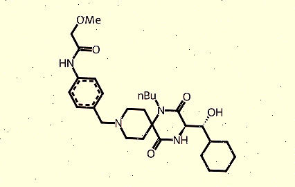 CCCCN1C(=O)[C@@H]([C@H](O)C2CCCCC2)NC(=O)C12CCN(Cc1ccc(NC(=O)COC)cc1)CC2